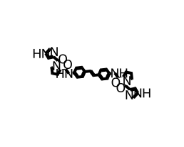 O=C(Nc1ccc(/C=C/c2ccc(NC(=O)[C@@H]3CCCN3C(=O)c3c[nH]cn3)cc2)cc1)[C@@H]1CCCN1C(=O)c1c[nH]cn1